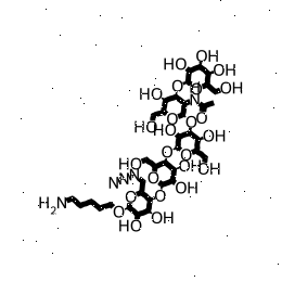 CC(=O)NC1[C@H](O[C@@H]2C(O)[C@@H](O[C@H]3C(CO)O[C@@H](O[C@@H]4C(CN=[N+]=[N-])O[C@@H](OCCCCCN)C(O)[C@H]4O)C(O)[C@H]3O)OC(CO)[C@@H]2O)OC(CO)[C@H](O)[C@@H]1O[C@@H]1OC(CO)[C@H](O)[C@H](O)C1O